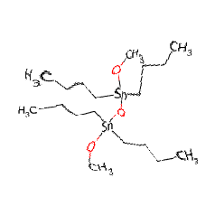 CCC[CH2][Sn]([CH2]CCC)([O]C)[O][Sn]([CH2]CCC)([CH2]CCC)[O]C